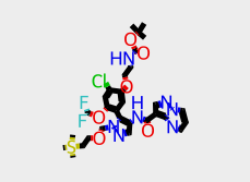 CC(C)(C)OC(=O)NCCOc1cc(-c2c(NC(=O)c3cnn4cccnc34)cnn2COCCS(C)(C)C)c(OC(F)F)cc1Cl